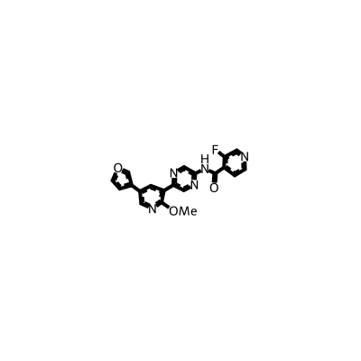 COc1ncc(-c2ccoc2)cc1-c1cnc(NC(=O)c2ccncc2F)cn1